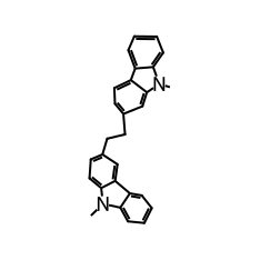 Cn1c2ccccc2c2cc(CCc3ccc4c5ccccc5n(C)c4c3)ccc21